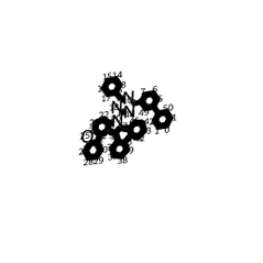 c1ccc(-c2cccc(-c3nc(-c4ccccc4)nc(-n4c5ccc6oc7ccccc7c6c5c5c6ccccc6c6ccccc6c54)n3)c2)cc1